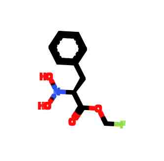 O=C(OCF)[C@H](Cc1ccccc1)N(O)O